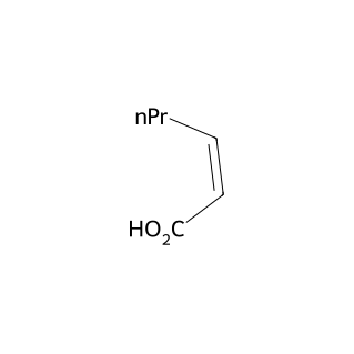 CCC/C=C\C(=O)O